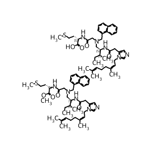 CC[C@H](C)[C@@H](CN(CC(=O)N[C@@H](CCSC)C(=O)O)Cc1cccc2ccccc12)NC(=O)Cc1cncn1CC=C(C)CCC=C(C)C.CC[C@H](C)[C@@H](CN(CC(=O)N[C@@H](CCSC)C(=O)OC)Cc1cccc2ccccc12)NC(=O)Cc1cncn1CC=C(C)CCC=C(C)C